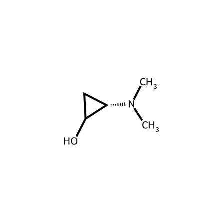 CN(C)[C@H]1CC1O